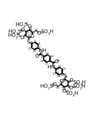 O=C(Nc1ccc(S[C@@H]2O[C@H](COS(=O)(=O)O)[C@@H](OS(=O)(=O)O)[C@H](OS(=O)(=O)O)[C@H]2OS(=O)(=O)O)cc1)c1ccc(C(=O)Nc2ccc(S[C@@H]3O[C@H](COS(=O)(=O)O)[C@@H](OS(=O)(=O)O)[C@H](OS(=O)(=O)O)[C@H]3OS(=O)(=O)O)cc2)cc1